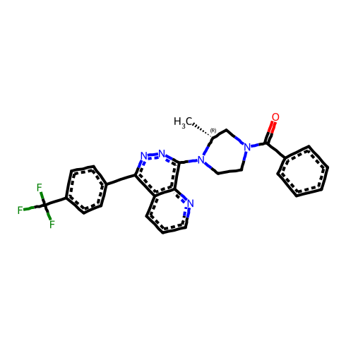 C[C@@H]1CN(C(=O)c2ccccc2)CCN1c1nnc(-c2ccc(C(F)(F)F)cc2)c2cccnc12